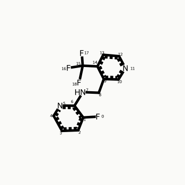 Fc1cccnc1NCc1cnccc1C(F)(F)F